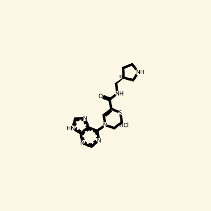 Cl.O=C(NC[C@H]1CCNC1)C1=CN(c2ncnc3[nH]cnc23)CCS1